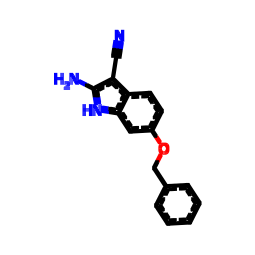 N#Cc1c(N)[nH]c2cc(OCc3ccccc3)ccc12